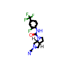 N#CN1C[C@H]2CCN(C(=O)Nc3ccc(C(F)(F)F)cc3F)[C@H]2C1